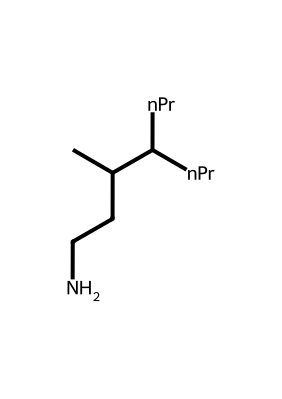 CCCC(CCC)C(C)CCN